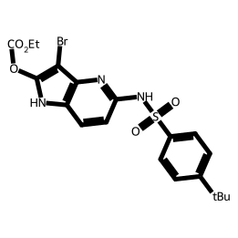 CCOC(=O)Oc1[nH]c2ccc(NS(=O)(=O)c3ccc(C(C)(C)C)cc3)nc2c1Br